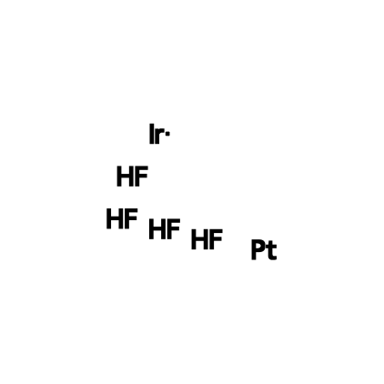 F.F.F.F.[Ir].[Pt]